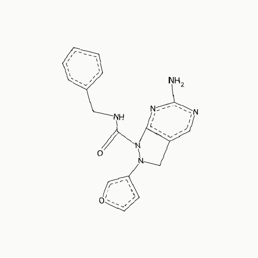 Nc1ncc2c(n1)N(C(=O)NCc1ccccc1)N(c1ccoc1)C2